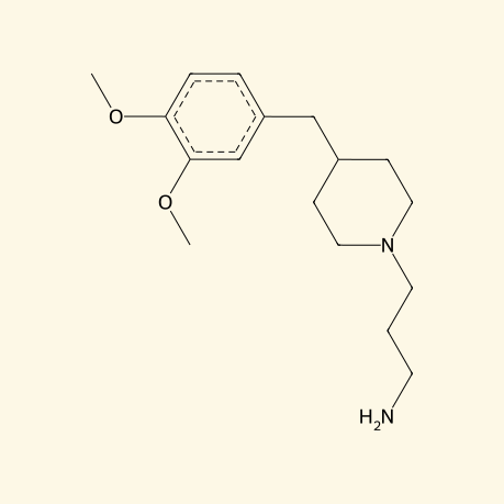 COc1ccc(CC2CCN(CCCN)CC2)cc1OC